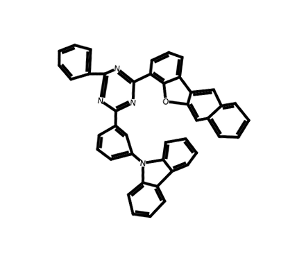 c1ccc(-c2nc(-c3cccc(-n4c5ccccc5c5ccccc54)c3)nc(-c3cccc4c3oc3cc5ccccc5cc34)n2)cc1